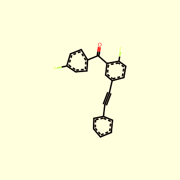 O=C(c1ccc(F)cc1)c1cc(C#Cc2ccccc2)ccc1F